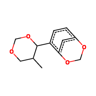 CC1COCOC1c1ccc2cc1OCO2